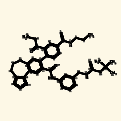 CCCNC(=O)c1ccc(-c2cc3c(cc2C(=O)Nc2cccc(CNC(=O)OC(C)(C)C)c2)-c2sccc2CCO3)c(C(=O)OC)n1